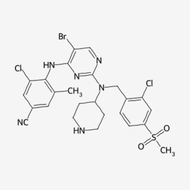 Cc1cc(C#N)cc(Cl)c1Nc1nc(N(Cc2ccc(S(C)(=O)=O)cc2Cl)C2CCNCC2)ncc1Br